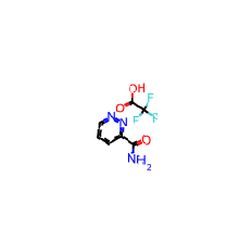 NC(=O)c1cccnn1.O=C(O)C(F)(F)F